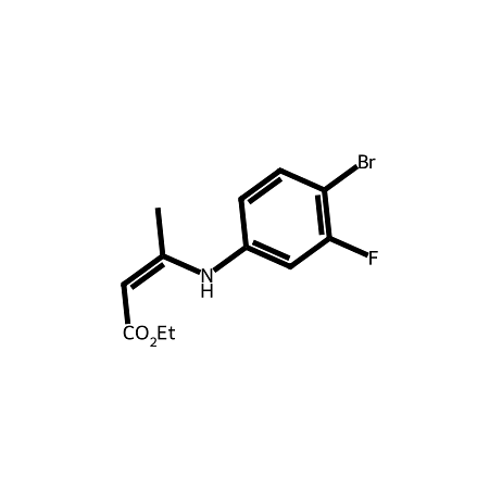 CCOC(=O)/C=C(/C)Nc1ccc(Br)c(F)c1